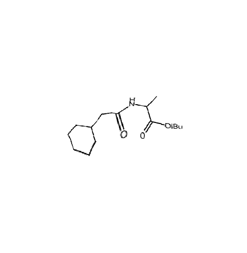 CC(C)COC(=O)C(C)NC(=O)CC1CCCCC1